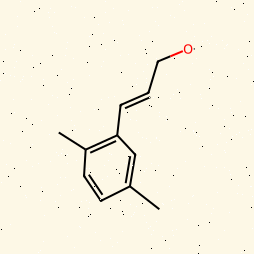 Cc1ccc(C)c(C=CC[O])c1